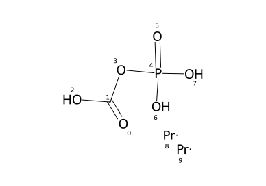 O=C(O)OP(=O)(O)O.[Pr].[Pr]